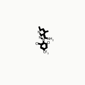 Cc1cc(C)c2c(N)n(-c3c(Cl)cc(C(F)(F)F)cc3Cl)nc2n1